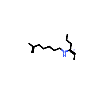 C=C(C)CCCCCN/C(=C\C)CCC